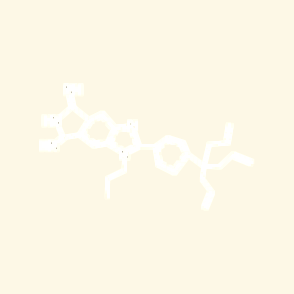 C=CCC(CC=C)(CC=C)c1ccc(-c2nc3cc4c(cc3n2CCC)C(=N)NC4=N)cc1